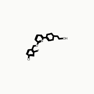 OCCC1CC=C(c2cccc(OCc3ccc(Cl)cc3F)n2)CC1